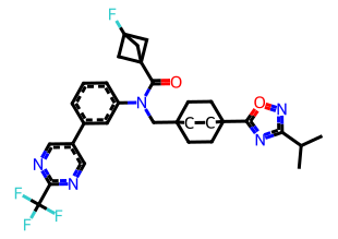 CC(C)c1noc(C23CCC(CN(C(=O)C45CC(F)(C4)C5)c4cccc(-c5cnc(C(F)(F)F)nc5)c4)(CC2)CC3)n1